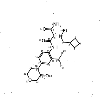 CCN(CC1CCC1)[C@@H](C(N)=O)C(=O)Nc1ccc(N2CCOCC2=O)cc1C(F)F